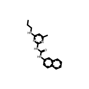 CCCNc1cc(C)nc(NC(=O)Nc2ccc3ccccc3c2)n1